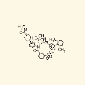 COC(=O)N1CCC(n2cc(N3C(=O)c4cccc(c4)S(=O)(=O)Nc4nc(cc(-c5c(C)cccc5C)n4)OC[C@H]3CC(C)(C)C)cn2)CC1